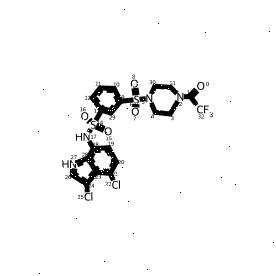 O=C(N1CCN(S(=O)(=O)c2cccc(S(=O)(=O)Nc3ccc(Cl)c4c(Cl)c[nH]c34)c2)CC1)C(F)(F)F